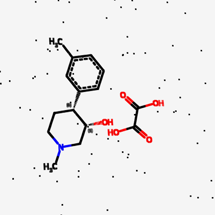 Cc1cccc([C@H]2CCN(C)C[C@H]2O)c1.O=C(O)C(=O)O